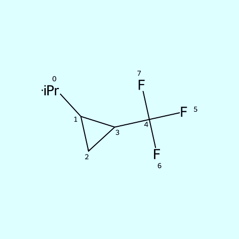 C[C](C)C1CC1C(F)(F)F